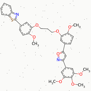 COc1ccc(-c2cc(-c3cc(OC)c(OC)c(OC)c3)no2)cc1OCCCOc1cc(-c2nc3ccccc3s2)ccc1OC